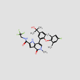 Cc1cc(F)cc(C)c1Oc1ccc(C(C)(C)O)cc1-c1cn(C)c(=O)c2cc(C(=O)NCC(F)(F)F)[nH]c12